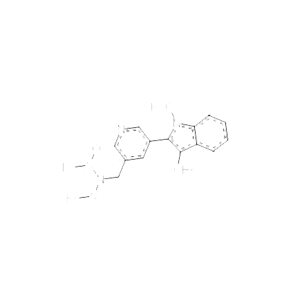 CCSN(Cc1cncc(-c2c(C=O)c3ccccc3n2C)c1)[S+]([O-])CC